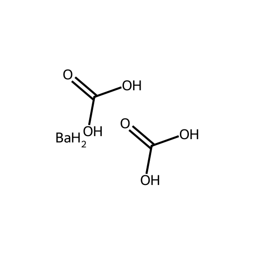 O=C(O)O.O=C(O)O.[BaH2]